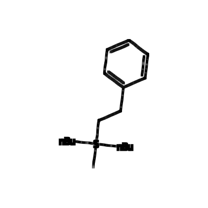 CCCCS(C)(CCCC)CCc1ccccc1